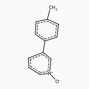 Cc1ccc(-c2cc[c][n+]([O-])c2)cc1